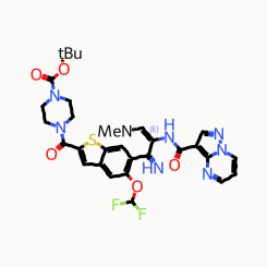 CN/C=C(/NC(=O)c1cnn2cccnc12)C(=N)c1cc2sc(C(=O)N3CCN(C(=O)OC(C)(C)C)CC3)cc2cc1OC(F)F